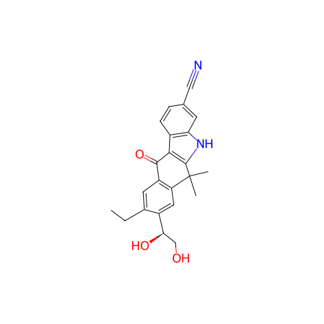 CCc1cc2c(cc1[C@H](O)CO)C(C)(C)c1[nH]c3cc(C#N)ccc3c1C2=O